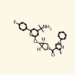 Cc1nn(-c2ccccc2)cc1C(=O)N1C[C@@H]2[C@H](C1)[C@@H]2Oc1cc(C(C)(C)N)cc(-c2ccc(F)cc2)n1